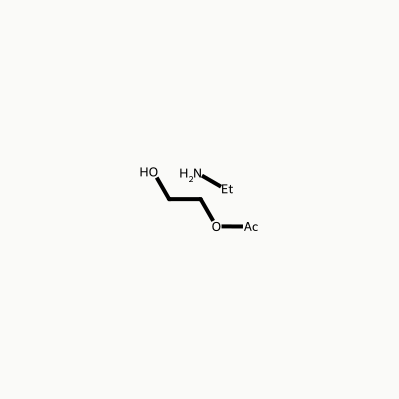 CC(=O)OCCO.CCN